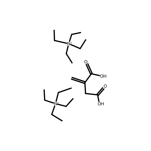 C=C(CC(=O)O)C(=O)O.CC[N+](CC)(CC)CC.CC[N+](CC)(CC)CC